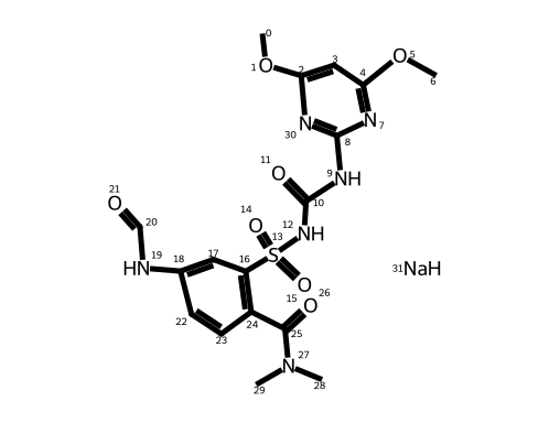 COc1cc(OC)nc(NC(=O)NS(=O)(=O)c2cc(NC=O)ccc2C(=O)N(C)C)n1.[NaH]